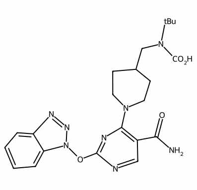 CC(C)(C)N(CC1CCN(c2nc(On3nnc4ccccc43)ncc2C(N)=O)CC1)C(=O)O